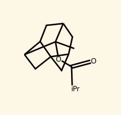 CC(C)C(=O)OC1(C)C2CC3CC34CC1C4C2